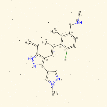 C=Cc1[nH]nc(-c2cnn(C)c2)c1/C=C(\C)c1c(F)ccc(CNCC)c1C